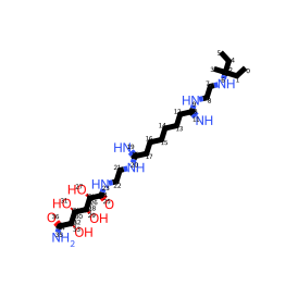 CCC(C)(CC)NCCNC(=N)CCCCCCC(=N)NCCNC(=O)[C@H](O)[C@@H](O)[C@@H](O)[C@H](O)C(N)=O